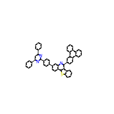 c1ccc(-c2cc(-c3ccccc3)nc(-c3ccc(-c4ccc5c(c4)nc(-c4ccc6c7ccccc7c7ccccc7c6c4)c4c6ccccc6sc54)cc3)n2)cc1